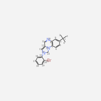 CC(C)(C)c1ccc2c(c1)N=CC1=CN(c3ccccc3Br)CN12